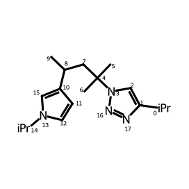 CC(C)c1cn(C(C)(C)CC(C)c2ccn(C(C)C)c2)nn1